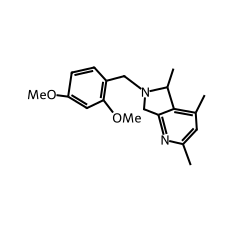 COc1ccc(CN2Cc3nc(C)cc(C)c3C2C)c(OC)c1